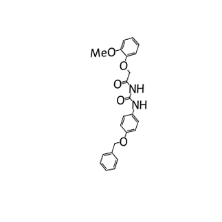 COc1ccccc1OCC(=O)NC(=O)Nc1ccc(OCc2ccccc2)cc1